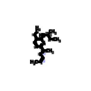 C/C=C\N=C(/C)c1ncc(CC)c(N[C@H](C)CC)n1